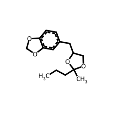 CCCC1(C)OCC(Cc2ccc3c(c2)OCO3)O1